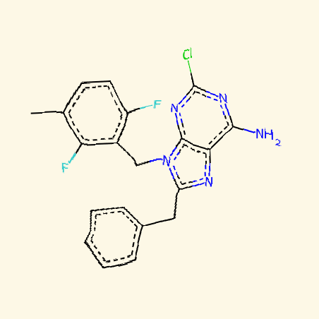 Cc1ccc(F)c(Cn2c(Cc3ccccc3)nc3c(N)nc(Cl)nc32)c1F